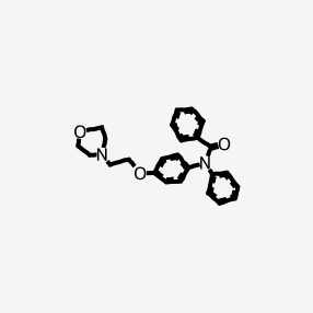 O=C(c1ccccc1)N(c1ccccc1)c1ccc(OCCN2CCOCC2)cc1